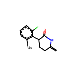 C=C1CCC(c2c(Cl)cccc2C(C)(C)C)C(=O)N1